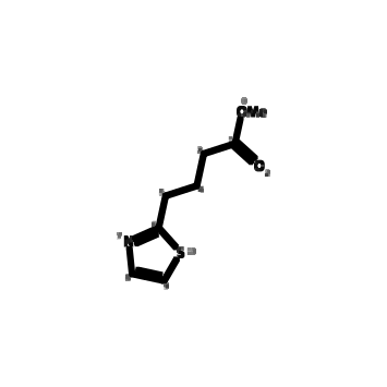 COC(=O)CCCc1nccs1